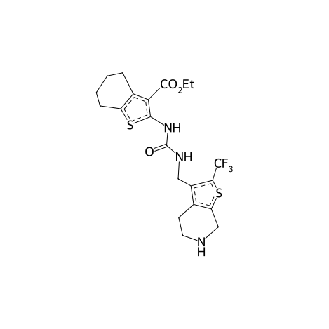 CCOC(=O)c1c(NC(=O)NCc2c(C(F)(F)F)sc3c2CCNC3)sc2c1CCCC2